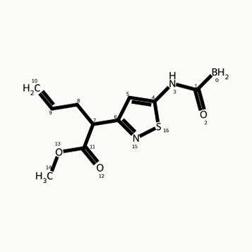 BC(=O)Nc1cc(C(CC=C)C(=O)OC)ns1